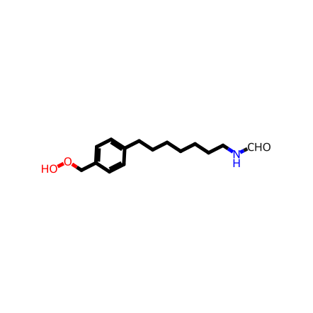 O=CNCCCCCCCc1ccc(COO)cc1